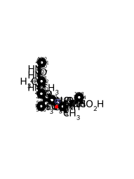 Cc1cc(C)c(NC(=O)Nc2ccccc2C(=O)O)c(C)c1/N=c1/cc2oc3cc(Nc4c(C)ccc(NC(=O)Nc5ccccc5)c4C)ccc3c(-c3ccccc3S(=O)(=O)O)c-2cc1S(=O)(=O)O